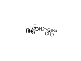 Cc1cc(N2CCC(CCO[Si](c3ccccc3)(c3ccccc3)C(C)(C)C)CC2)ccc1N1CCC(=O)NC1=O